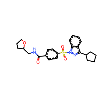 O=C(NCC1CCCO1)c1ccc(S(=O)(=O)n2nc(C3CCCC3)c3ccccc32)cc1